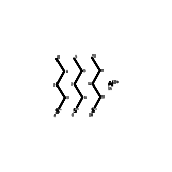 CCCC[S-].CCCC[S-].CCCC[S-].[Al+3]